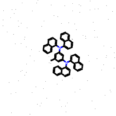 Cc1cc(N(c2cccc3ccccc23)c2cccc3ccccc23)cc(N(c2cccc3ccccc23)c2cccc3ccccc23)c1